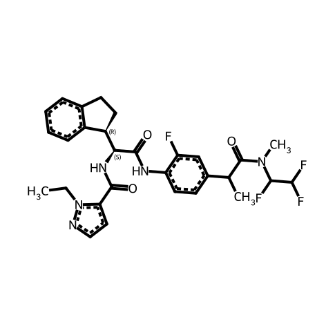 CCn1nccc1C(=O)N[C@H](C(=O)Nc1ccc(C(C)C(=O)N(C)C(F)C(F)F)cc1F)[C@@H]1CCc2ccccc21